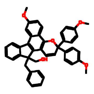 COc1ccc(C2(c3ccc(OC)cc3)C=Cc3c4c(c5cc(OC)ccc5c3O2)-c2ccccc2C4(CO)Cc2ccccc2)cc1